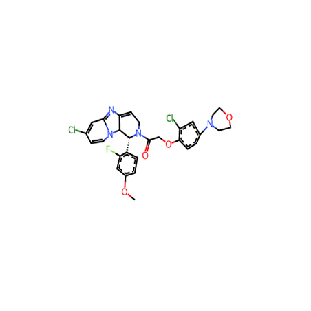 COc1ccc([C@@H]2C3C(=CCN2C(=O)COc2ccc(N4CCOCC4)cc2Cl)N=C2C=C(Cl)C=CN23)c(F)c1